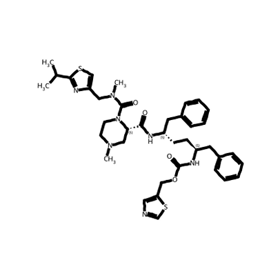 CC(C)c1nc(CN(C)C(=O)N2CCN(C)C[C@H]2C(=O)N[C@@H](CC[C@@H](Cc2ccccc2)NC(=O)OCc2cncs2)Cc2ccccc2)cs1